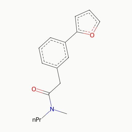 CCCN(C)C(=O)Cc1cccc(-c2ccco2)c1